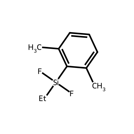 CC[Si](F)(F)c1c(C)cccc1C